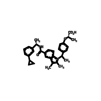 Cc1c(C)n(C(C)c2ccc(O[C@@H](C)C(=O)O)cc2)c2ccc(C(=O)N[C@@H](C)c3cccc(C4CC4)c3)cc12